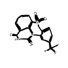 O=c1[nH]c(=S)n2c3c(cccc13)S(=O)(=O)c1ccc(C(F)(F)F)cc1-2